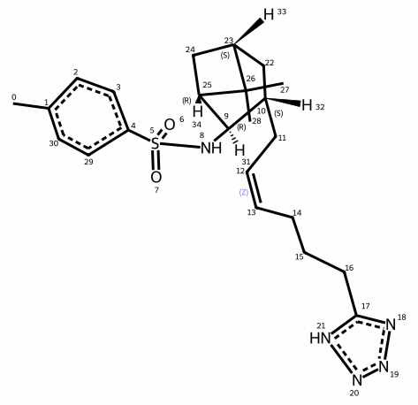 Cc1ccc(S(=O)(=O)N[C@@H]2[C@@H](C/C=C\CCCc3nnn[nH]3)C[C@H]3C[C@@H]2C3(C)C)cc1